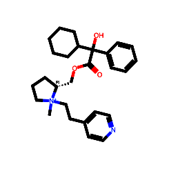 C[N+]1(CCc2ccncc2)CCC[C@@H]1COC(=O)C(O)(c1ccccc1)C1CCCCC1